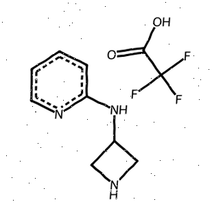 O=C(O)C(F)(F)F.c1ccc(NC2CNC2)nc1